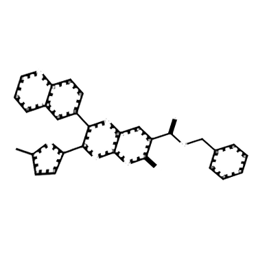 Cc1ccc(-c2nc3[nH]c(=O)c(C(=O)NCc4ccccc4)cc3nc2-c2ccc3ncccc3c2)s1